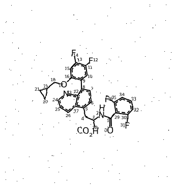 O=C(NC(Cc1ccc(-c2cc(F)c(F)cc2OCC2CC2)c2ncccc12)C(=O)O)c1c(F)cccc1F